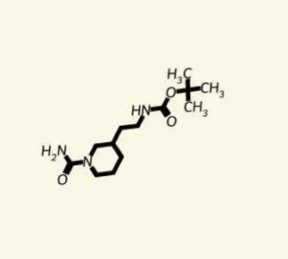 CC(C)(C)OC(=O)NCCC1CCCN(C(N)=O)C1